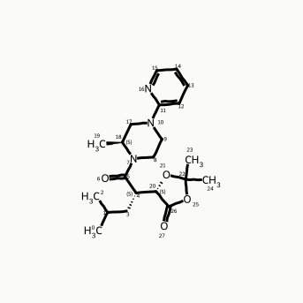 CC(C)C[C@H](C(=O)N1CCN(c2ccccn2)C[C@@H]1C)[C@@H]1OC(C)(C)OC1=O